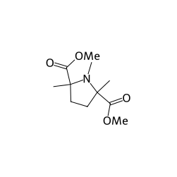 COC(=O)C1(C)CCC(C)(C(=O)OC)N1C